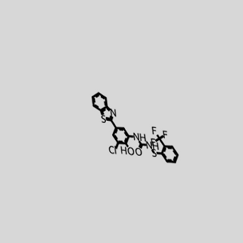 O=C(NSc1ccccc1C(F)(F)F)Nc1cc(-c2nc3ccccc3s2)cc(Cl)c1O